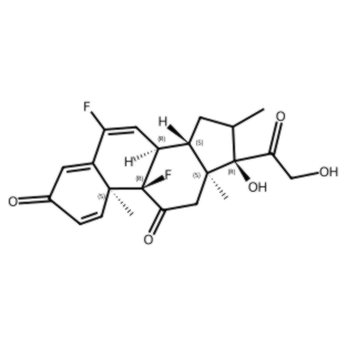 CC1C[C@H]2[C@@H]3C=C(F)C4=CC(=O)C=C[C@]4(C)[C@@]3(F)C(=O)C[C@]2(C)[C@@]1(O)C(=O)CO